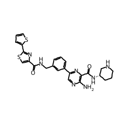 Nc1ncc(-c2cccc(CNC(=O)c3csc(-c4cccs4)n3)c2)nc1C(=O)N[C@H]1CCCNC1